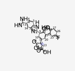 N=C(N)c1ccc2[nH]c(-c3cc(/C(=C/C(=O)O)C(=O)O)cc(-c4cc(F)ccc4O)c3O)nc2c1